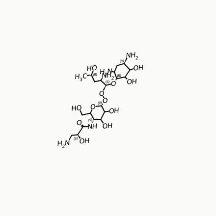 C[C@@H](O)CC(N)[C@H](OO[C@H]1OC(CO)[C@@H](NC(=O)[C@@H](O)CN)C(O)C1O)O[C@@H]1C(N)C[C@@H](N)C(O)C1O